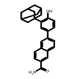 NC(=O)c1ccc2cc(-c3ccc(O)c(C45CC6CC(CC(C6)C4)C5)c3)ccc2c1